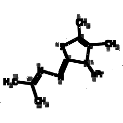 CCCn1c(C)c(C)s/c1=N\N=C(C)C